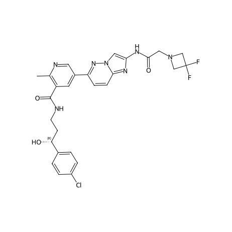 Cc1ncc(-c2ccc3nc(NC(=O)CN4CC(F)(F)C4)cn3n2)cc1C(=O)NCC[C@@H](O)c1ccc(Cl)cc1